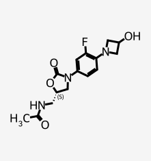 CC(=O)NC[C@H]1CN(c2ccc(N3CC(O)C3)c(F)c2)C(=O)O1